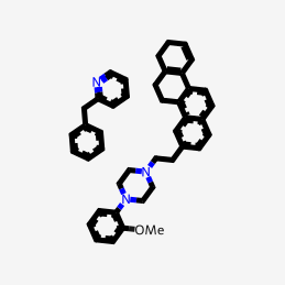 COc1ccccc1N1CCN(CCc2ccc3ccc4c(c3c2)CCC2=C4C=CCC2)CC1.c1ccc(Cc2ccccn2)cc1